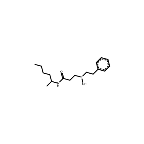 CCCCC(C)NC(=O)CCP(O)CCc1ccccc1